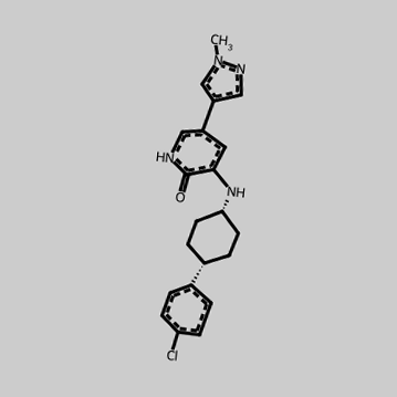 Cn1cc(-c2c[nH]c(=O)c(N[C@H]3CC[C@@H](c4ccc(Cl)cc4)CC3)c2)cn1